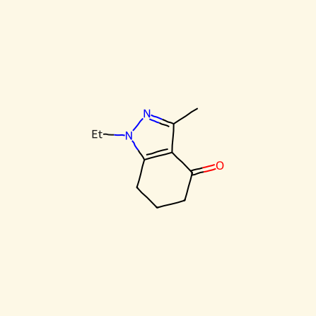 CCn1nc(C)c2c1CCCC2=O